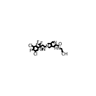 C#CCNC(=O)c1cc2c(cn1)CN(C1=NOC(c3cc(Cl)c(F)c(Cl)c3)(C(F)(F)F)C1)C2